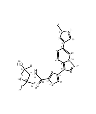 Cn1cc(-c2cnc3c(-c4csc(C(=O)N[C@@H](C(C)(C)O)C(F)(F)F)c4)cnn3c2)cn1